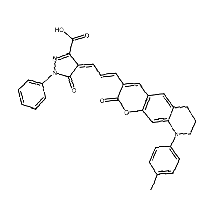 Cc1ccc(N2CCCc3cc4cc(/C=C/C=C5\C(=O)N(c6ccccc6)N=C5C(=O)O)c(=O)oc4cc32)cc1